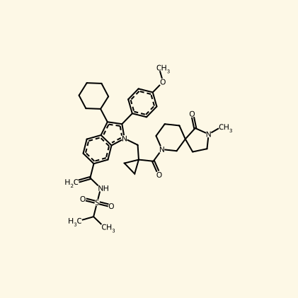 C=C(NS(=O)(=O)C(C)C)c1ccc2c(C3CCCCC3)c(-c3ccc(OC)cc3)n(CC3(C(=O)N4CCCC5(CCN(C)C5=O)C4)CC3)c2c1